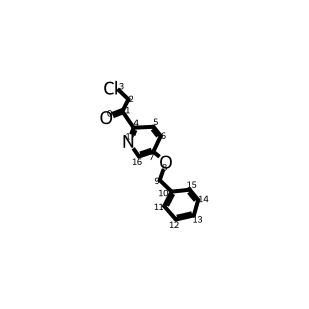 O=C(CCl)c1ccc(OCc2ccccc2)cn1